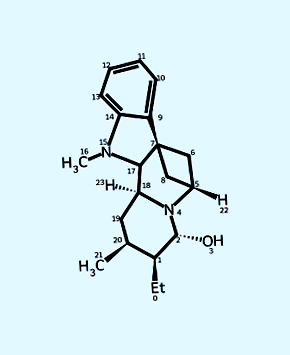 CC[C@@H]1[C@@H](O)N2[C@H]3C[C@@]4(C3)c3ccccc3N(C)C4[C@@H]2C[C@@H]1C